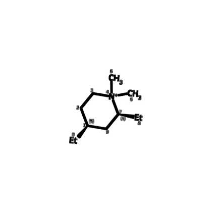 CC[C@H]1CC[N+](C)(C)[C@@H](CC)C1